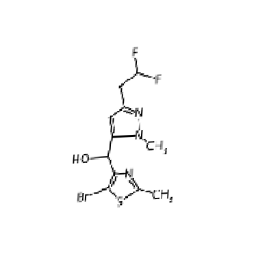 Cc1nc(C(O)c2cc(CC(F)F)nn2C)c(Br)s1